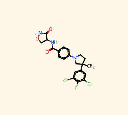 O=C(NC1CONC1=O)c1ccc(N2CCC(c3cc(Cl)c(F)c(Cl)c3)(C(F)(F)F)C2)cc1